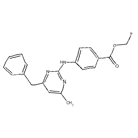 Cc1cc(Cc2ccccc2)nc(Nc2ccc(C(=O)OCF)cc2)n1